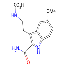 COc1ccc2[nH]c(C(N)=O)c(CCNC(=O)O)c2c1